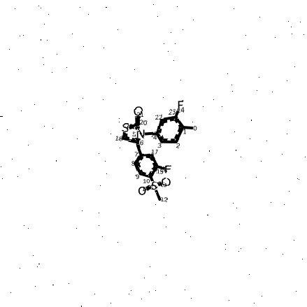 Cc1ccc(-n2c(-c3ccc(S(C)(=O)=O)c(F)c3)csc2=O)cc1F